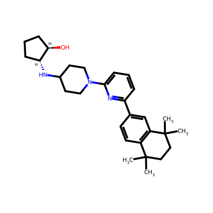 CC1(C)CCC(C)(C)c2cc(-c3cccc(N4CCC(N[C@@H]5CCC[C@H]5O)CC4)n3)ccc21